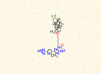 Cc1nc(-c2nc[nH]n2)ccc1-c1cnc2c(n1)N(CCCCCCO[C@H]1CC[C@H]3[C@@H]4CC[C@H]5CC(F)(F)CC[C@]5(C)[C@H]4CC[C@]13C)C(=O)CN2